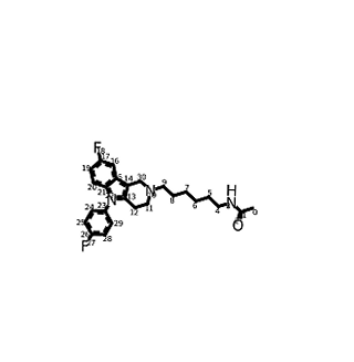 CC(=O)NCCCCCCN1CCc2c(c3cc(F)ccc3n2-c2ccc(F)cc2)C1